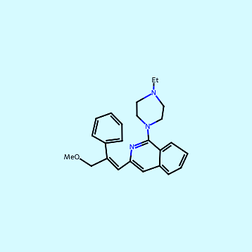 CCN1CCN(c2nc(C=C(COC)c3ccccc3)cc3ccccc23)CC1